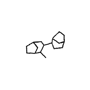 CC1C2CCC(C2)CC1C1CCC2CCC1C2